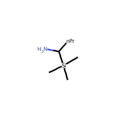 [CH2]CCC(N)[Si](C)(C)C